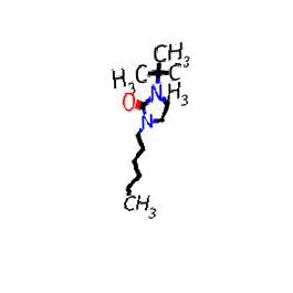 CCCCCCN1CCN(C(C)(C)C)C1=O